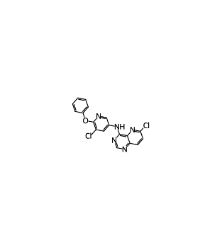 Clc1ccc2ncnc(Nc3cnc(Oc4ccccc4)c(Cl)c3)c2n1